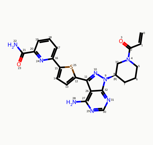 C=CC(=O)N1CCC[C@@H](n2nc(-c3ccc(-c4cccc(C(N)=O)n4)s3)c3c(N)ncnc32)C1